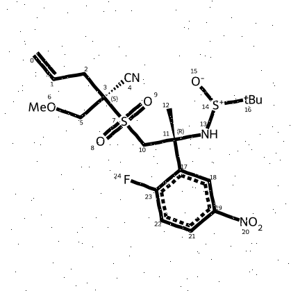 C=CC[C@](C#N)(COC)S(=O)(=O)C[C@](C)(N[S+]([O-])C(C)(C)C)c1cc([N+](=O)[O-])ccc1F